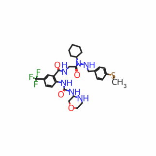 CSc1ccc(CNN(C(=O)CNC(=O)c2cc(C(F)(F)F)ccc2NC(=O)NC2COCCN2)C2CCCCC2)cc1